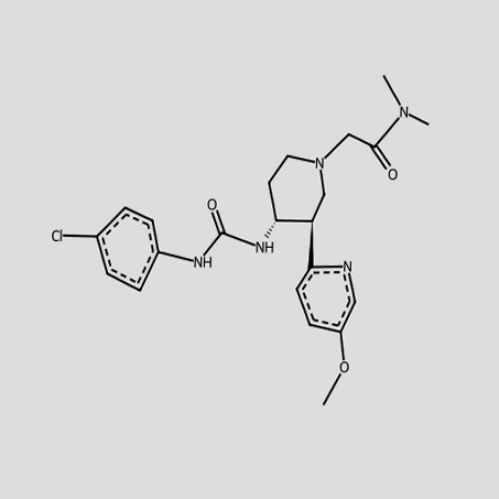 COc1ccc([C@@H]2CN(CC(=O)N(C)C)CC[C@H]2NC(=O)Nc2ccc(Cl)cc2)nc1